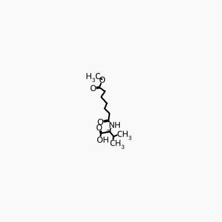 COC(=O)CCCCCC(=O)N[C@H](C(=O)O)C(C)C